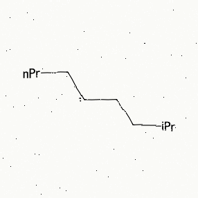 CCCC[C]CCC(C)C